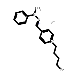 CN(/N=C/c1cc[n+](CCCCBr)cc1)c1ccccc1.[Br-]